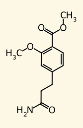 COC(=O)c1ccc(CCC(N)=O)cc1OC